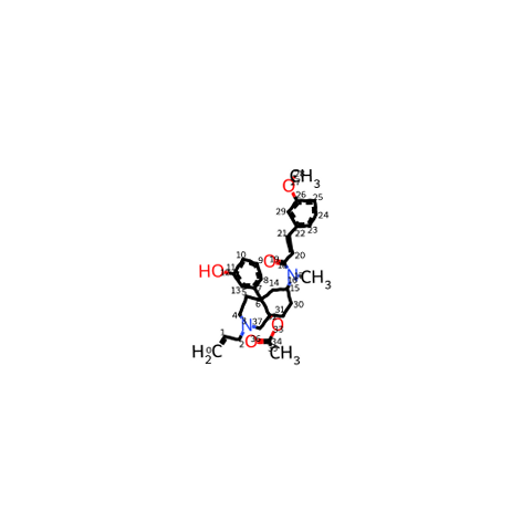 C=CCN1CCC2(c3cccc(O)c3)CC(N(C)C(=O)/C=C/c3cccc(OC)c3)CCC2(OC(C)=O)C1